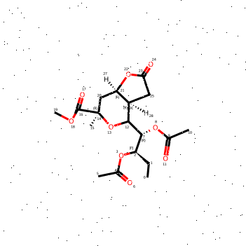 CC[C@@H](OC(C)=O)[C@@H](OC(C)=O)C1O[C@@](C)(C(=O)OC)C[C@H]2OC(=O)C[C@@H]12